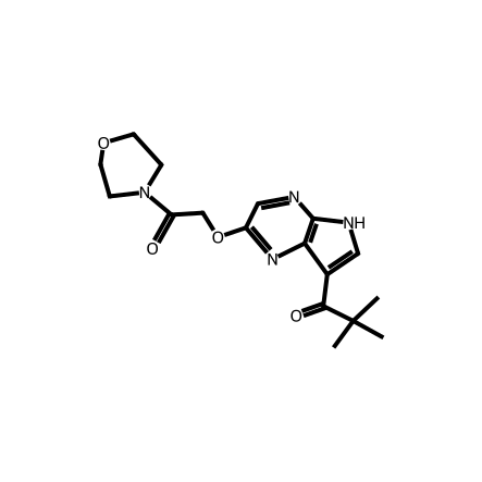 CC(C)(C)C(=O)c1c[nH]c2ncc(OCC(=O)N3CCOCC3)nc12